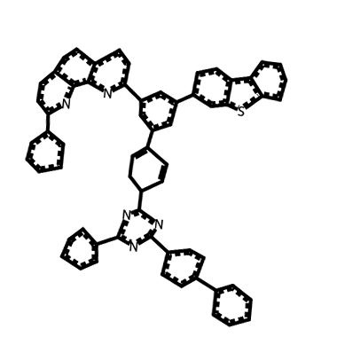 C1=CC(c2nc(-c3ccccc3)nc(-c3ccc(-c4ccccc4)cc3)n2)CC=C1c1cc(-c2ccc3c(c2)sc2ccccc23)cc(-c2ccc3ccc4ccc(-c5ccccc5)nc4c3n2)c1